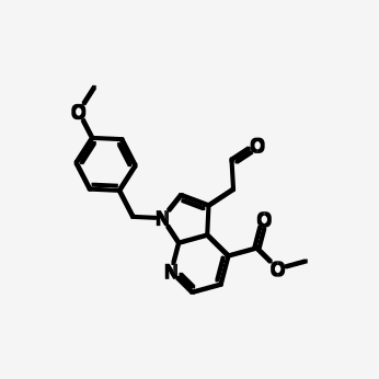 COC(=O)C1=CC=NC2C1C(CC=O)=CN2Cc1ccc(OC)cc1